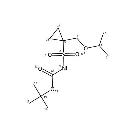 CC(C)OCC1(S(=O)(=O)NC(=O)OC(C)(C)C)CC1